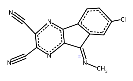 C/N=C1\c2cc(Cl)ccc2-c2nc(C#N)c(C#N)nc21